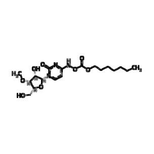 CCCCCCCOC(=O)ONc1ccn([C@@H]2O[C@H](CO)[C@H](OC)[C@@H]2O)c(=O)n1